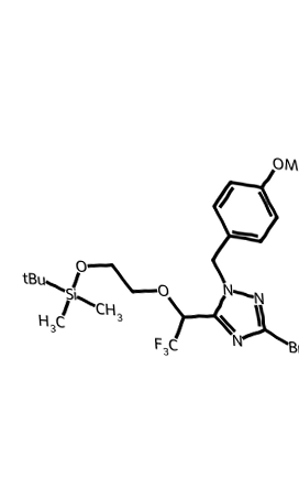 COc1ccc(Cn2nc(Br)nc2C(OCCO[Si](C)(C)C(C)(C)C)C(F)(F)F)cc1